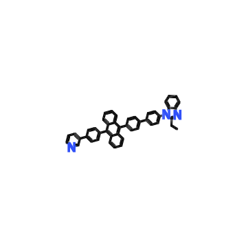 CCc1nc2ccccc2n1-c1ccc(-c2ccc(-c3c4ccccc4c(-c4ccc(-c5cccnc5)cc4)c4ccccc34)cc2)cc1